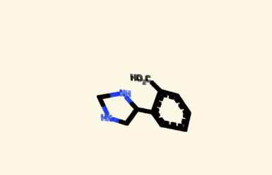 O=C(O)c1ccccc1C1CNCN1